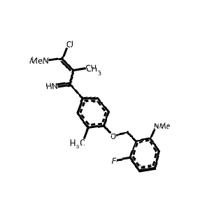 CN/C(Cl)=C(/C)C(=N)c1ccc(OCc2c(F)cccc2NC)c(C)c1